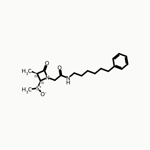 C[C@H]1C(=O)N(CC(=O)NCCCCCCc2ccccc2)[C@H]1[S+](C)[O-]